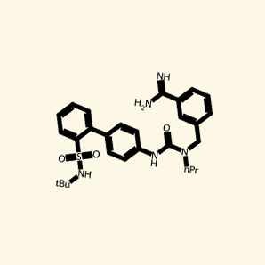 CCCN(Cc1cccc(C(=N)N)c1)C(=O)Nc1ccc(-c2ccccc2S(=O)(=O)NC(C)(C)C)cc1